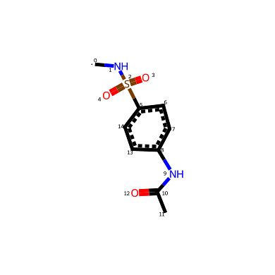 [CH2]NS(=O)(=O)c1ccc(NC(C)=O)cc1